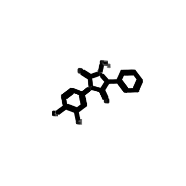 CN1C(=O)N(c2ccc(Cl)c(Cl)c2)C(=O)C1c1c[c]ccc1